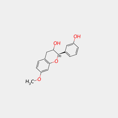 COc1ccc2c(c1)O[C@H](c1cccc(O)c1)C(O)C2